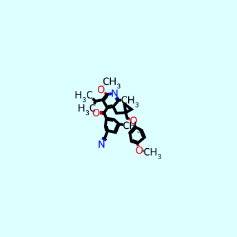 COc1ccc(OCC2(Cc3c(C)nc(OC)c(C(C)C)c3C(=O)c3cc(C)cc(C#N)c3)CC2)cc1